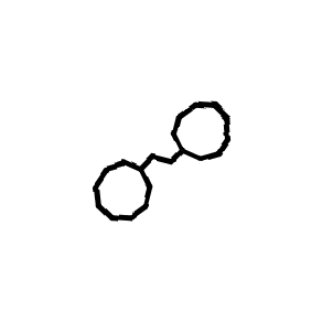 C1CCCCC(CCC2CCCCCCCC2)CCC1